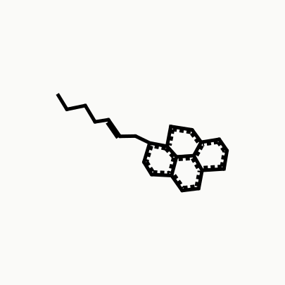 CCCCC=CCc1ccc2ccc3cccc4ccc1c2c34